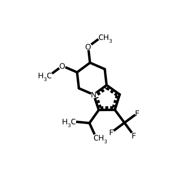 COC1Cc2cc(C(F)(F)F)c(C(C)C)n2CC1OC